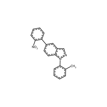 Cc1ccccc1-n1ncc2cc(-c3ccccc3[N+](=O)[O-])ccc21